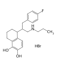 Br.CCCNCC(Cc1ccc(F)cc1)C1CCCc2c1ccc(O)c2O